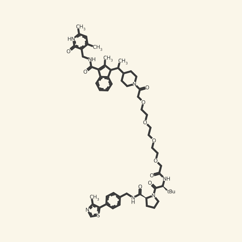 CC1=C(C(=O)NCc2c(C)cc(C)[nH]c2=O)c2ccccc2C1C(C)C1CCN(C(=O)COCCOCCOCCOCC(=O)N[C@H](C(=O)N2CCC[C@H]2C(=O)NCc2ccc(-c3scnc3C)cc2)C(C)(C)C)CC1